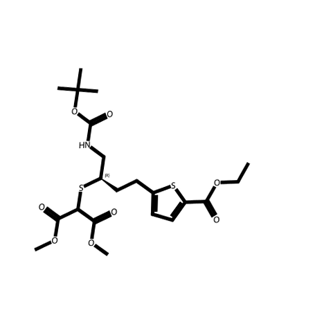 CCOC(=O)c1ccc(CC[C@H](CNC(=O)OC(C)(C)C)SC(C(=O)OC)C(=O)OC)s1